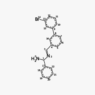 NC(/N=C/c1cccc(-c2cccc(Br)c2)c1)c1ccccc1